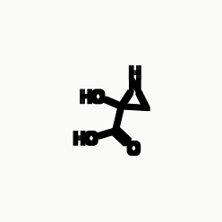 O=C(O)C1(O)CN1